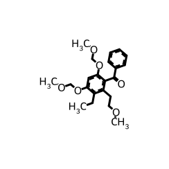 CCc1c(OCOC)cc(OCOC)c(C(=O)c2ccccc2)c1CCOC